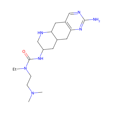 CCN(CCN(C)C)C(=O)NC1CNC2Cc3cnc(N)nc3CC2C1